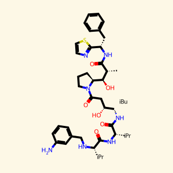 CC[C@H](C)[C@H](NC(=O)[C@@H](NC(=O)[C@@H](NCc1cccc(N)c1)C(C)C)C(C)C)[C@H](O)CC(=O)N1CCC[C@H]1[C@H](O)[C@@H](C)C(=O)N[C@@H](Cc1ccccc1)c1nccs1